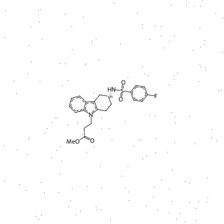 COC(=O)CCn1c2c(c3ccccc31)C[C@H](NS(=O)(=O)c1ccc(F)cc1)CC2